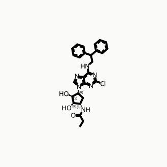 CCC(=O)N[C@H]1C[C@@H](n2cnc3c(NCC(c4ccccc4)c4ccccc4)nc(Cl)nc32)[C@H](O)[C@@H]1O